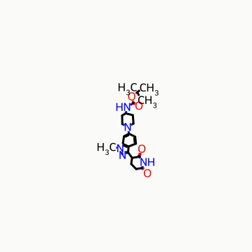 Cn1nc(C2CCC(=O)NC2=O)c2ccc(N3CCC(NC(=O)OC(C)(C)C)CC3)cc21